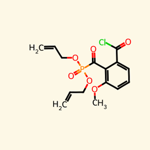 C=CCOP(=O)(OCC=C)C(=O)c1c(OC)cccc1C(=O)Cl